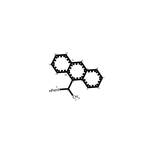 CCCCCC(C)c1c2ccccc2cc2ccccc12